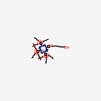 CCCCCCOc1cc(C2=C3C=CC(=N3)C(c3cc(OCCCCCC)c(OCCCCCC)c(OCCCCCC)c3)=C3C=CC(=N3)C(c3cc(OCCCCCC)c(OCCCCCC)c(OCCCCCC)c3)=C3C=CC(=N3)C(c3ccc(OCCCCCCCCCCCCO)cc3)=C3C=CC2=N3)cc(OCCCCCC)c1OCCCCCC